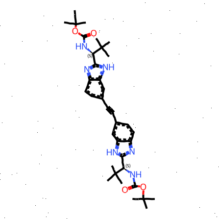 CC(C)(C)OC(=O)N[C@H](c1nc2ccc(C#Cc3ccc4nc([C@@H](NC(=O)OC(C)(C)C)C(C)(C)C)[nH]c4c3)cc2[nH]1)C(C)(C)C